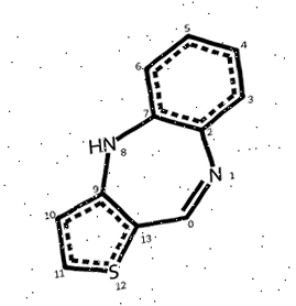 C1=Nc2ccccc2Nc2ccsc21